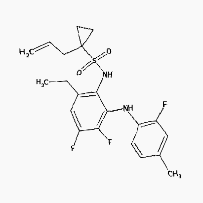 C=CCC1(S(=O)(=O)Nc2c(CC)cc(F)c(F)c2Nc2ccc(C)cc2F)CC1